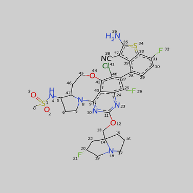 CS(=O)(=O)NC1CCN2c3nc(OCC45CCCN4C[C@H](F)C5)nc4c(F)c(-c5ccc(F)c6sc(N)c(C#N)c56)c(Cl)c(c34)OCCC12